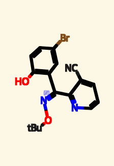 CC(C)(C)O/N=C(/c1cc(Br)ccc1O)c1ncccc1C#N